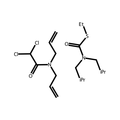 C=CCN(CC=C)C(=O)C(Cl)Cl.CCSC(=O)N(CC(C)C)CC(C)C